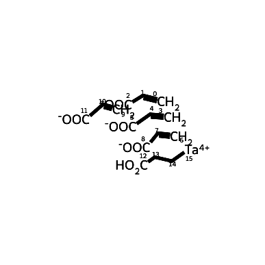 C=CC(=O)[O-].C=CC(=O)[O-].C=CC(=O)[O-].C=CC(=O)[O-].O=C(O)C[CH2][Ta+4]